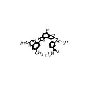 COc1cnc2c(-c3nc4cc(F)c5c(c4s3)C[C@H](CN(C(=O)O)c3cccc(C(N)=O)c3)O5)cc(C)cc2n1